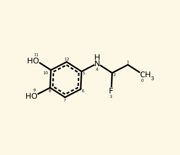 CCC(F)Nc1ccc(O)c(O)c1